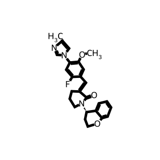 COc1cc(/C=C2\CCCN([C@H]3CCOc4ccccc43)C2=O)c(F)cc1-n1cnc(C)c1